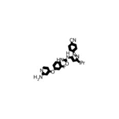 CC(C)c1cc(NC(=O)Nc2ccc(Oc3ccnc(N)c3)cc2F)n(-c2ccc(C#N)cc2)n1